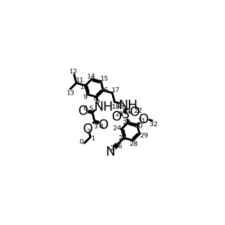 CCOC(=O)C(=O)Nc1cc(C(C)C)ccc1CCNS(=O)(=O)c1cc(C#N)ccc1OC